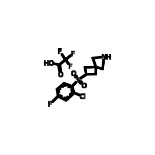 O=C(O)C(F)(F)F.O=S(=O)(c1ccc(F)cc1Cl)C1CC2(CNC2)C1